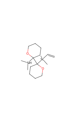 C=C[Si](C)(C)C1(C2([SiH](C)C)CCCCO2)CCCCO1